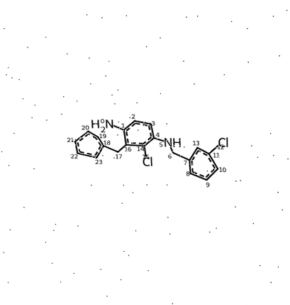 Nc1ccc(NCc2cccc(Cl)c2)c(Cl)c1Cc1ccccc1